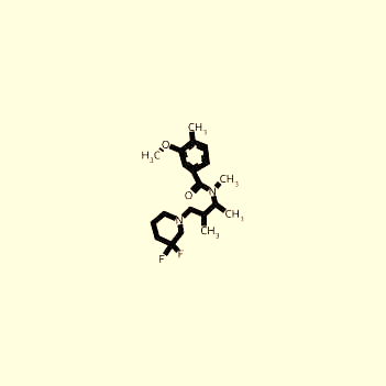 COc1cc(C(=O)N(C)C(C)C(C)CN2CCCC(F)(F)C2)ccc1C